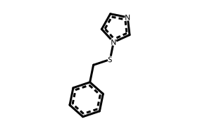 c1ccc(CSn2ccnc2)cc1